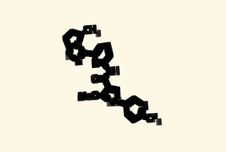 COc1nn(-c2ccc(C(F)(F)F)nc2)cc1C(=O)Nc1cccc(-c2nnc3n2[C@@H](C)CC3)n1